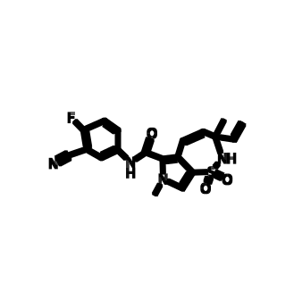 C=CC1(C)C=Cc2c(cn(C)c2C(=O)Nc2ccc(F)c(C#N)c2)S(=O)(=O)N1